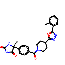 Cc1ccccc1-c1nnc(C2CCN(C(=O)c3ccc(C4(C(C)C)NC(=O)NC4=O)cc3)CC2)o1